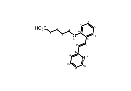 O=C(O)CCCCOc1ccccc1/C=C/c1ccccn1